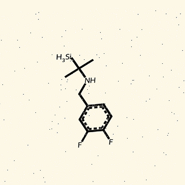 CC(C)([SiH3])NCc1ccc(F)c(F)c1